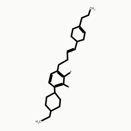 CCCC1=CCC(/C=C/CCc2ccc(C3CCC(CC)CC3)c(F)c2F)CC1